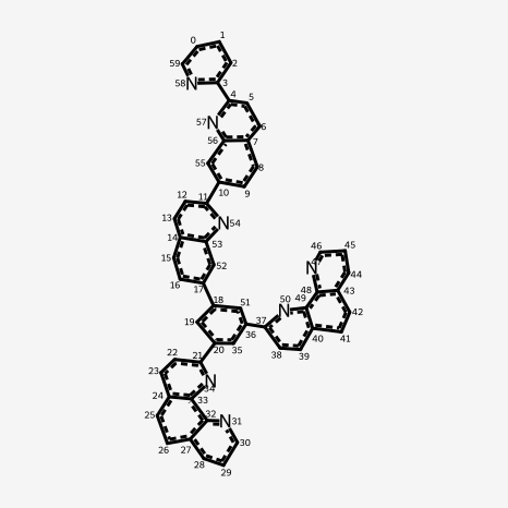 c1ccc(-c2ccc3ccc(-c4ccc5ccc(-c6cc(-c7ccc8ccc9cccnc9c8n7)cc(-c7ccc8ccc9cccnc9c8n7)c6)cc5n4)cc3n2)nc1